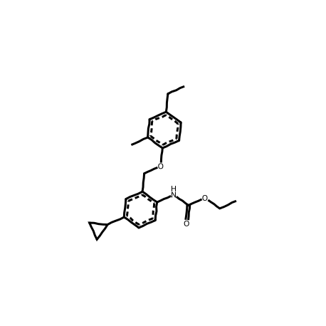 CCOC(=O)Nc1ccc(C2CC2)cc1COc1ccc(CC)cc1C